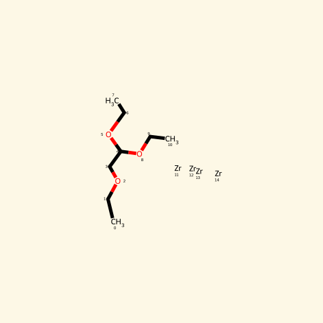 CCO[CH]C(OCC)OCC.[Zr].[Zr].[Zr].[Zr]